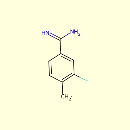 [CH2]c1ccc(C(=N)N)cc1F